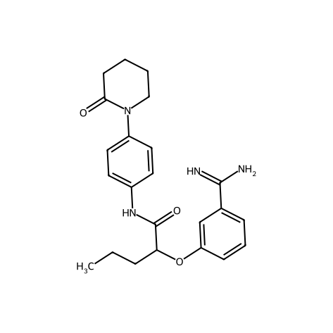 CCCC(Oc1cccc(C(=N)N)c1)C(=O)Nc1ccc(N2CCCCC2=O)cc1